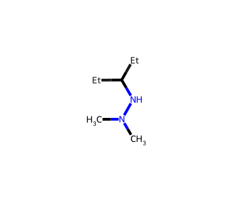 CCC(CC)NN(C)C